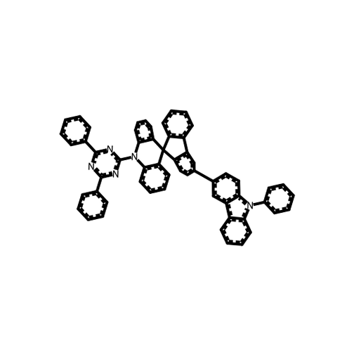 c1ccc(-c2nc(-c3ccccc3)nc(N3c4ccccc4C4(c5ccccc5-c5cc(-c6ccc7c(c6)c6ccccc6n7-c6ccccc6)ccc54)c4ccccc43)n2)cc1